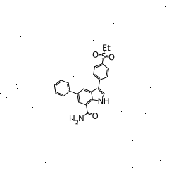 CCS(=O)(=O)c1ccc(-c2c[nH]c3c(C(N)=O)cc(-c4ccccc4)cc23)cc1